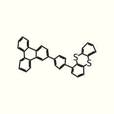 c1ccc2c(c1)Sc1cccc(-c3ccc(-c4ccc5c6ccccc6c6ccccc6c5c4)cc3)c1S2